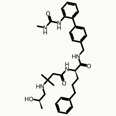 CNC(=O)Nc1ccccc1-c1ccc(CNC(=O)[C@@H](CCCc2ccccc2)NC(=O)CC(C)(C)NC[C@@H](C)O)cc1